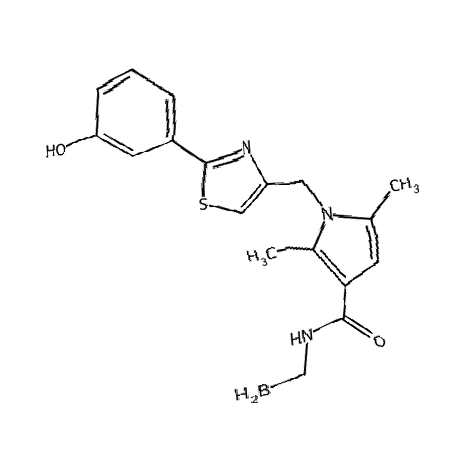 BCNC(=O)c1cc(C)n(Cc2csc(-c3cccc(O)c3)n2)c1C